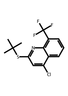 CC(C)(C)Sc1cc(Cl)c2cccc(C(F)(F)F)c2n1